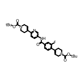 CC(C)(C)OC(=O)N1CC=C(c2ccc(NC(=O)c3ccc(C4=CCN(C(=O)OC(C)(C)C)CC4)c(F)c3)cn2)CC1